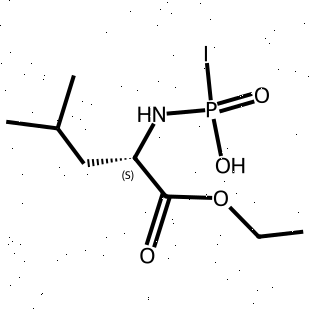 CCOC(=O)[C@H](CC(C)C)NP(=O)(O)I